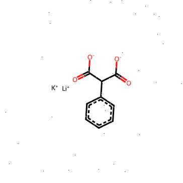 O=C([O-])C(C(=O)[O-])c1ccccc1.[K+].[Li+]